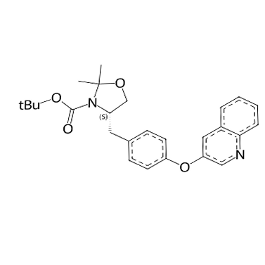 CC(C)(C)OC(=O)N1[C@@H](Cc2ccc(Oc3cnc4ccccc4c3)cc2)COC1(C)C